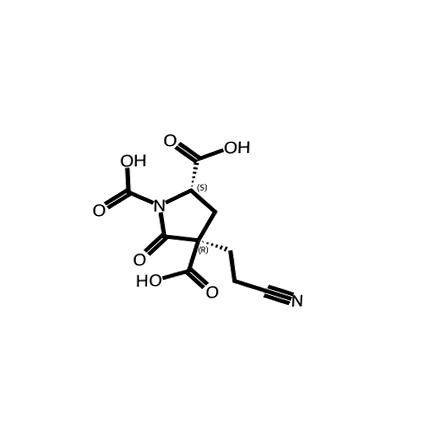 N#CCC[C@@]1(C(=O)O)C[C@@H](C(=O)O)N(C(=O)O)C1=O